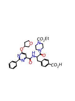 CCOC(=O)N1CCN(C(=O)C(Cc2ccc(C(=O)O)cc2)NC(=O)c2cc(OC3CCOC3)nc(-c3ccccc3)n2)CC1